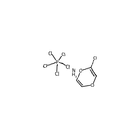 ClC1=COC=CO1.ClP(Cl)(Cl)(Cl)Cl.N